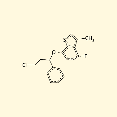 Cc1csc2c(O[C@H](CCCl)c3ccccc3)ccc(F)c12